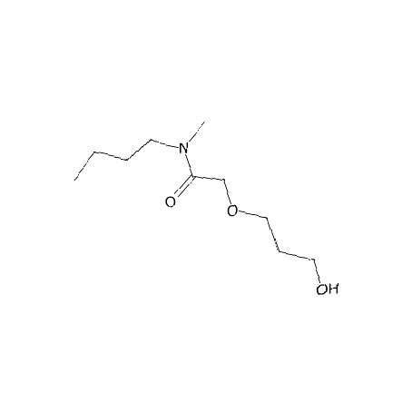 CCCCN(C)C(=O)COCCCO